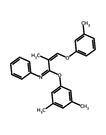 CC(=COc1cccc(C)c1)/C(=N\c1ccccc1)Oc1cc(C)cc(C)c1